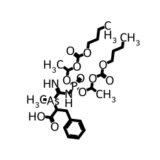 CCCCOC(=O)OC(C)OP(=O)(NC(=N)[As](C)C(Cc1ccccc1)C(=O)O)OC(C)OC(=O)OCCCC